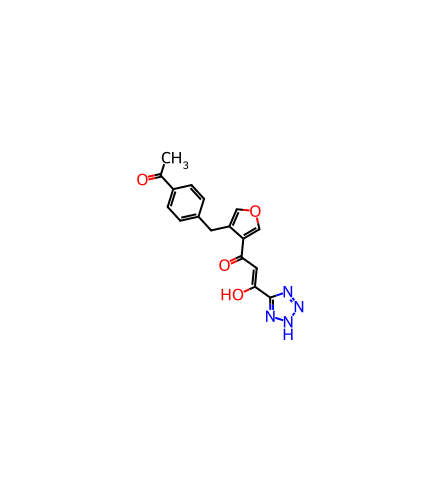 CC(=O)c1ccc(Cc2cocc2C(=O)C=C(O)c2nn[nH]n2)cc1